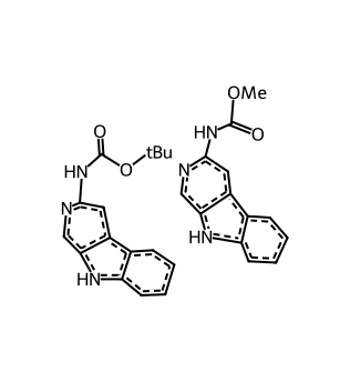 CC(C)(C)OC(=O)Nc1cc2c(cn1)[nH]c1ccccc12.COC(=O)Nc1cc2c(cn1)[nH]c1ccccc12